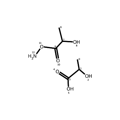 CC(O)C(=O)O.CC(O)C(=O)ON